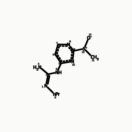 CCC/N=C(/N)Nc1ccnc([S+](C)[O-])n1